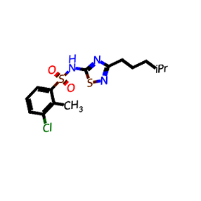 Cc1c(Cl)cccc1S(=O)(=O)Nc1nc(CCCC(C)C)ns1